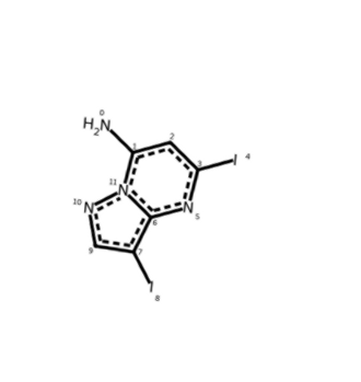 Nc1cc(I)nc2c(I)cnn12